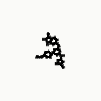 COc1ccc(-c2cc(Nc3cc(C)[nH]n3)nc(Sc3ccc4c(=O)[nH][nH]c4c3)n2)cc1